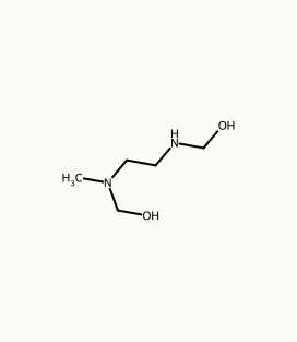 CN(CO)CCNCO